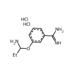 CCC(N)Oc1cccc(C(=N)N)c1.Cl.Cl